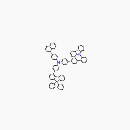 c1ccc(C2(c3ccccc3)c3ccccc3-c3c(-c4ccc(N(c5ccc(-c6ccc(-c7ccccc7-n7c8ccccc8c8ccccc87)cc6)cc5)c5ccc(-c6cccc7ccccc67)cc5)cc4)cccc32)cc1